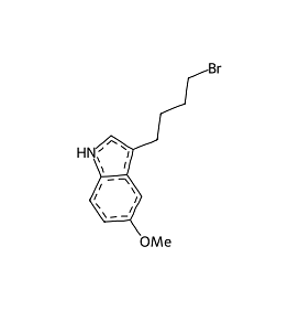 COc1ccc2[nH]cc(CCCCBr)c2c1